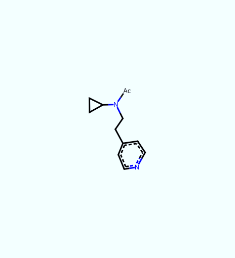 CC(=O)N(CCc1ccncc1)C1CC1